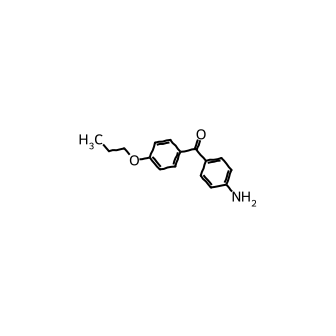 CCCOc1ccc(C(=O)c2ccc(N)cc2)cc1